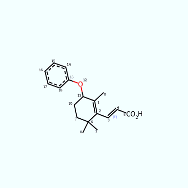 CC1=C(/C=C/C(=O)O)C(C)(C)CCC1Oc1ccccc1